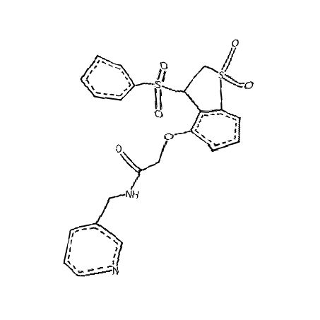 O=C(COc1cccc2c1C(S(=O)(=O)c1ccccc1)CS2(=O)=O)NCc1cccnc1